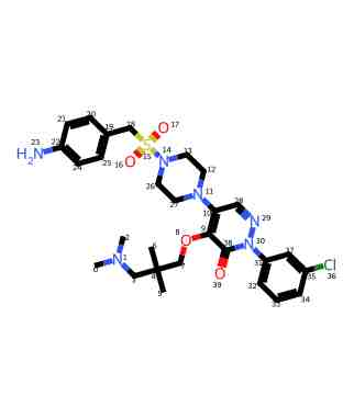 CN(C)CC(C)(C)COc1c(N2CCN(S(=O)(=O)Cc3ccc(N)cc3)CC2)cnn(-c2cccc(Cl)c2)c1=O